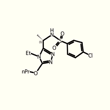 CCCOc1nnc([C@H](C)NS(=O)(=O)c2ccc(Cl)cc2)n1CC